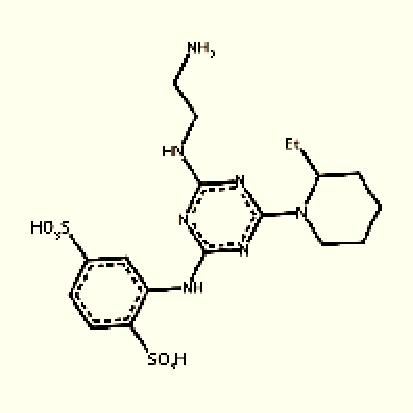 CCC1CCCCN1c1nc(NCCN)nc(Nc2cc(S(=O)(=O)O)ccc2S(=O)(=O)O)n1